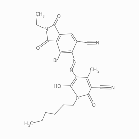 CCCCCCn1c(O)c(/N=N/c2c(C#N)cc3c(c2Br)C(=O)N(CC)C3=O)c(C)c(C#N)c1=O